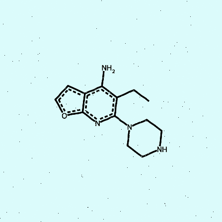 CCc1c(N2CCNCC2)nc2occc2c1N